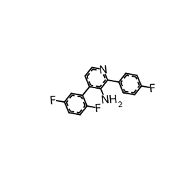 Nc1c(-c2cc(F)ccc2F)ccnc1-c1ccc(F)cc1